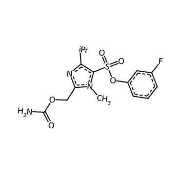 CC(C)c1nc(COC(N)=O)n(C)c1S(=O)(=O)Oc1cccc(F)c1